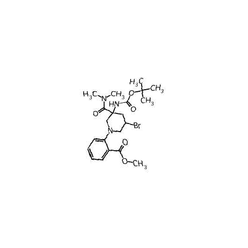 COC(=O)c1ccccc1N1CC(Br)CC(NC(=O)OC(C)(C)C)(C(=O)N(C)C)C1